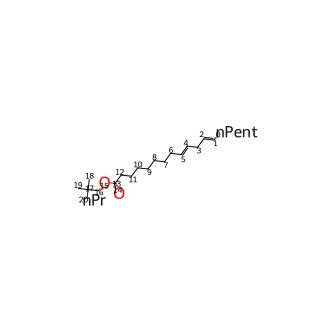 CCCCC/C=C/C/C=C/CCCCCCCC(=O)OCC(C)(C)CCC